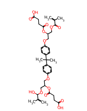 C=C(C)C(=O)OCC(COc1ccc(C(C)(C)c2ccc(OCC(COC(O)C(=C)C)OC(=O)CCC(=O)O)cc2)cc1)OC(=O)CCC(=O)O